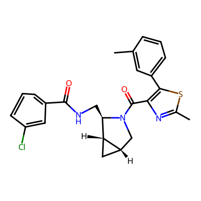 Cc1cccc(-c2sc(C)nc2C(=O)N2C[C@@H]3C[C@@H]3[C@H]2CNC(=O)c2cccc(Cl)c2)c1